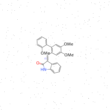 COc1cc(/C=C2/C(=O)Nc3ccccc32)c(-c2ccccc2OC)cc1OC